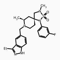 CCc1n[nH]c2ccc(CN3CC[C@@]4(C[C@@H]3C)CN(C)S(=O)(=O)N4c3cccc(F)c3)cc12